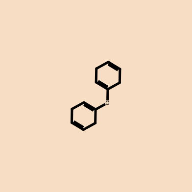 C1=CCC(OC2=CCC=CC2)=CC1